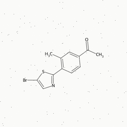 CC(=O)c1ccc(-c2ncc(Br)s2)c(C)c1